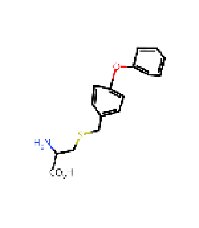 NC(CSCc1ccc(Oc2ccccc2)cc1)C(=O)O